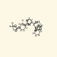 CNC1=C(C(=N)c2ccnc(N3CCCN(C(=O)OC(C)(C)C)C[C@@H]3C)n2)CCC12CCCCC21OCCO1